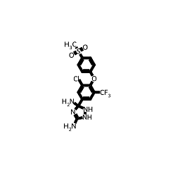 CS(=O)(=O)c1ccc(Oc2c(Cl)cc(C3(N)N=C(N)NN3)cc2C(F)(F)F)cc1